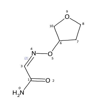 NC(=O)/C=N\OC1CCOC1